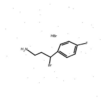 Br.NCCC(Br)c1ccc(F)cc1